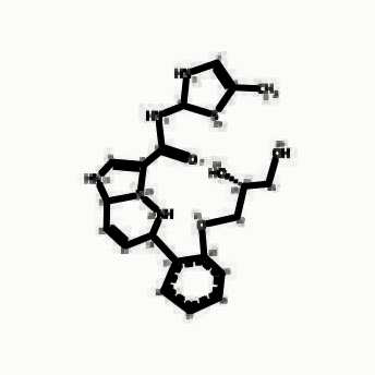 CC1=CNC(NC(=O)C2=CNC3C=CC(c4ccccc4OC[C@H](O)CO)NN23)S1